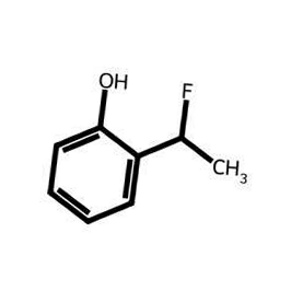 CC(F)c1ccccc1O